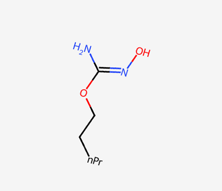 CCCCCOC(N)=NO